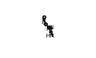 CNCc1cc(-c2cnn3cc(-c4ccc(OCCN5CCCCC5)cc4)cnc23)cs1